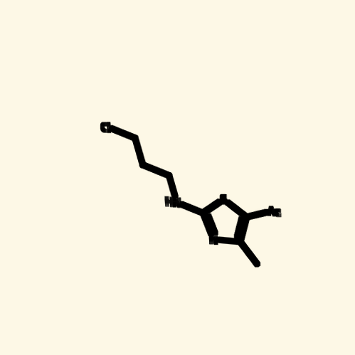 CC(=O)c1sc(NCCCCl)nc1C